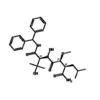 CO[C@H](C(=O)N(O)[C@H](C(=O)NC(c1ccccc1)c1ccccc1)C(C)(C)O)[C@@H](CC(C)C)C(N)=O